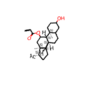 C=CC(=O)OC1C[C@]2(C)[C@@H](C(C)=O)CC[C@H]2[C@@H]2CCC3CC(O)CC[C@]3(C)[C@@H]12